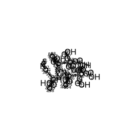 O=C(O)COc1cc(OCC(=O)O)c(C#Cc2cc(CN3CCN(Cc4cc(C#Cc5ccc(N=C=S)cc5)cc(P(=O)(O)c5ccccc5)c4)CCN(Cc4cc(C#Cc5c(OCC(=O)O)cc(OCC(=O)O)cc5OCC(=O)O)cc(P(=O)(O)c5ccccc5)n4)CC3)nc(P(=O)(O)c3ccccc3)c2)c(OCC(=O)O)c1